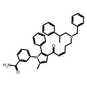 Cc1cc(C(=O)/C=C\CCN(Cc2ccccc2)CC(C)c2ccccc2)c(-c2ccccc2)n1-c1cccc(C(N)=O)c1